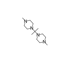 CN1CCN(C(C)(C)N2CCN(C)CC2)CC1